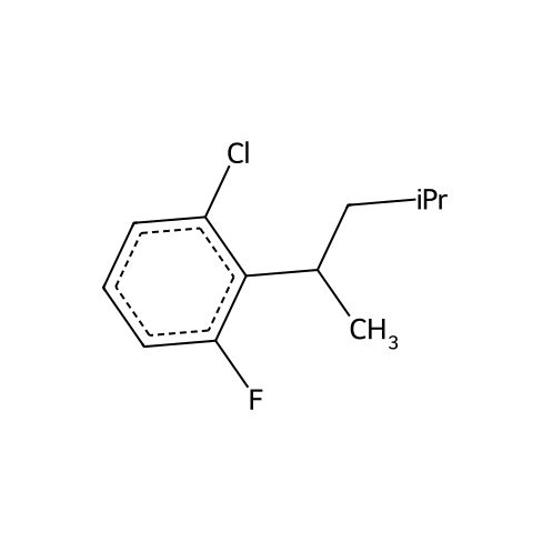 CC(C)CC(C)c1c(F)cccc1Cl